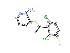 C[C@@H](Sc1cccnc1N)c1c(Cl)ccc(F)c1Cl